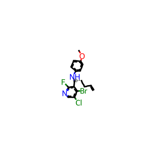 C=CCC[C@@H](Nc1ccc(OC)cc1)c1c(F)ncc(Cl)c1Br